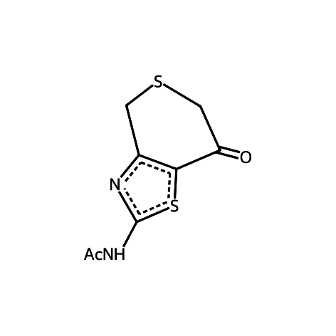 CC(=O)Nc1nc2c(s1)C(=O)CSC2